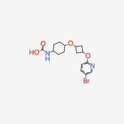 O=C(O)NC1CCC(OC2CC(Oc3ccc(Br)cn3)C2)CC1